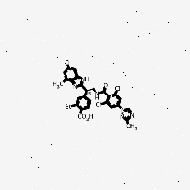 CCc1cc([C@H](CNC(=O)c2c(Cl)cc(-n3cnc(C)n3)cc2Cl)c2nc3c(C)cc(Cl)cc3[nH]2)ccc1C(=O)O